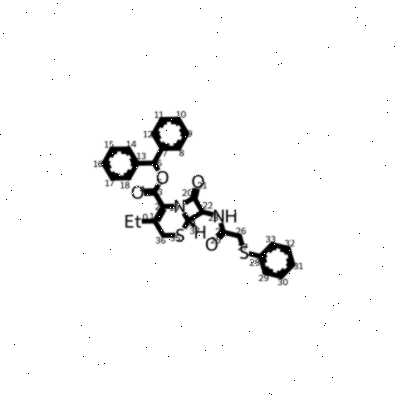 CCC1=C(C(=O)OC(c2ccccc2)c2ccccc2)N2C(=O)C(NC(=O)CSc3ccccc3)[C@@H]2SC1